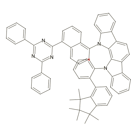 CC1(C)c2cccc(-c3ccccc3-n3c4ccccc4c4ccc5c6ccccc6n(-c6cccc7c(-c8nc(-c9ccccc9)nc(-c9ccccc9)n8)cccc67)c5c43)c2C(C)(C)C1(C)C